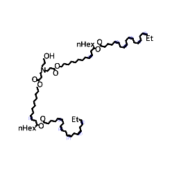 CC/C=C\C/C=C\C/C=C\C/C=C\C/C=C\CCCC(=O)OC(C/C=C\CCCCCCCCOC(=O)CCN(CCCO)CCC(=O)OCCCCCCCC/C=C\CC(CCCCCC)OC(=O)CCC/C=C\C/C=C\C/C=C\C/C=C\C/C=C\CC)CCCCCC